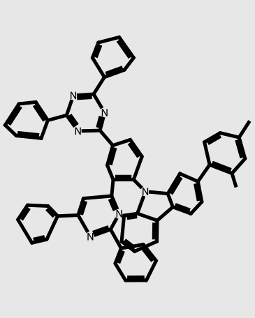 Cc1ccc(-c2ccc3c4ccccc4n(-c4ccc(-c5nc(-c6ccccc6)nc(-c6ccccc6)n5)cc4-c4cc(-c5ccccc5)nc(-c5ccccc5)n4)c3c2)c(C)c1